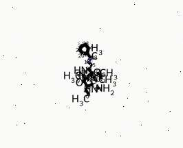 CCC[C@H](C(=O)NN)C(=O)NN(C)N[C@@H](C/C=C(\C)c1ccccc1)C(=O)OC(C)(C)C